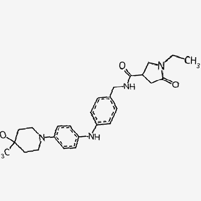 CCN1CC(C(=O)NCc2ccc(Nc3ccc(N4CCC(C)(O)CC4)cc3)cc2)CC1=O